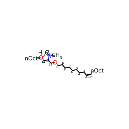 CCCCCCCC/C=C\CCCCCCCCOCC(COCCCCCCCC)N(C)C